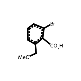 COCc1cccc(Br)c1C(=O)O